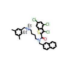 CC[N+](CC)(CCCCN(Cc1ccc2ccccc2c1)C(=O)c1sc2cc(Cl)cc(Cl)c2c1Cl)Cc1cc(C)cc(C)c1